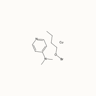 CCCCOBr.CN(C)c1ccncc1.[Cu]